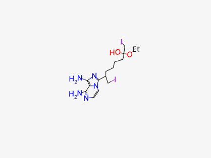 CCOC(O)(CI)CCCCC(CI)c1nc(N)c2c(N)nccn12